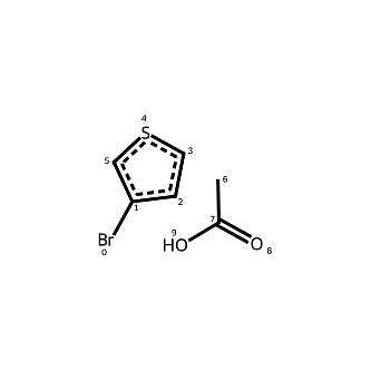 Brc1ccsc1.CC(=O)O